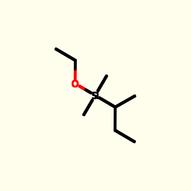 CCO[Si](C)(C)C(C)CC